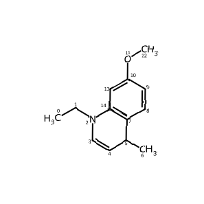 CCN1C=CC(C)c2ccc(OC)cc21